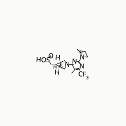 Cc1c(N2C[C@@H]3[C@H](C2)[C@H]3CS(=O)O)nc(N2CC[C@@H]2C)nc1C(F)(F)F